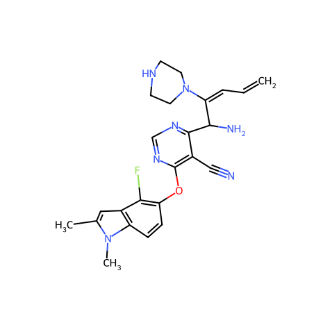 C=C/C=C(\C(N)c1ncnc(Oc2ccc3c(cc(C)n3C)c2F)c1C#N)N1CCNCC1